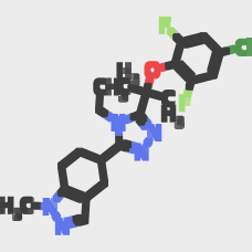 CCn1c(C2CCc3c(cnn3C)C2)nnc1C(C)(C)Oc1c(F)cc(Cl)cc1F